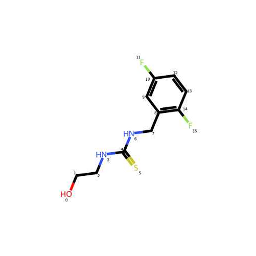 OCCNC(=S)NCc1cc(F)ccc1F